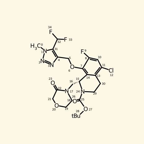 Cn1nnc(COc2c(F)cc(Cl)c3c2[C@@H](CN2CCOCC2=O)N(C(=O)OC(C)(C)C)CC3)c1C(F)F